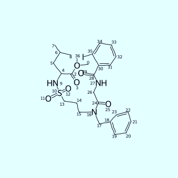 COC(=O)C(CC(C)C)NS(=O)(=O)CCCN(Cc1ccccc1)C(=O)CNC(=O)c1ccccc1I